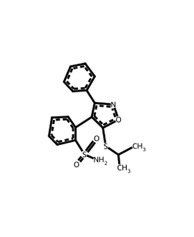 CC(C)Sc1onc(-c2ccccc2)c1-c1ccccc1S(N)(=O)=O